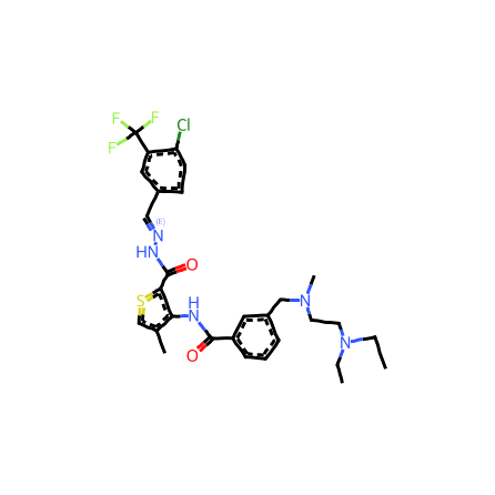 CCN(CC)CCN(C)Cc1cccc(C(=O)Nc2c(C)csc2C(=O)N/N=C/c2ccc(Cl)c(C(F)(F)F)c2)c1